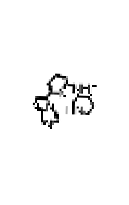 FC1CCNCC1Nc1cccc(-c2cnc3cnccn23)n1